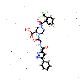 O=C(NCC(=O)N1CCN(C(=O)c2cc(F)ccc2C(F)(F)F)CC1C(=O)O)c1cc(C2C=CC=CC2)[nH]n1